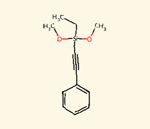 CC[Si](C#Cc1ccccc1)(OC)OC